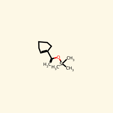 C=C(O[Si](C)(C)C)C1=CCCCC1